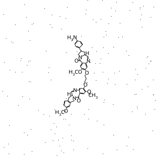 COc1ccc2c(c1)CN1C(=O)c3cc(OC)c(OCCCOc4cc5c(cc4OC)C(=O)N4CC(c6ccc(N)cc6)C[C@H]4C=N5)cc3N=C[C@@H]1C2